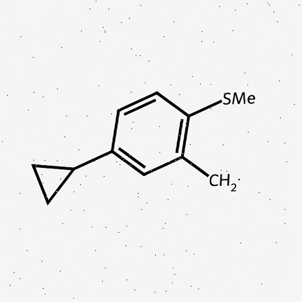 [CH2]c1cc(C2CC2)ccc1SC